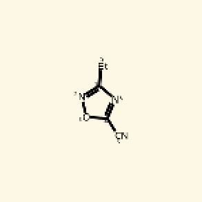 CCc1noc(C#N)n1